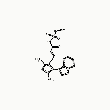 CCCNS(=O)(=O)NC(=O)/C=C/c1c(C)nn(C)c1-n1ccc2ccccc21